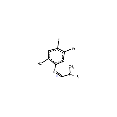 CC(C)c1nc(/N=C\N(C)C)c(C#N)cc1F